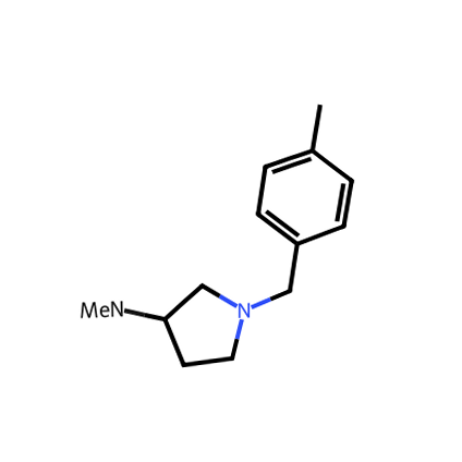 CNC1CCN(Cc2ccc(C)cc2)C1